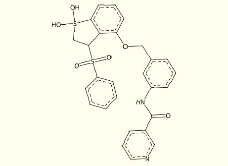 O=C(Nc1cccc(COc2cccc3c2C(S(=O)(=O)c2ccccc2)CS3(O)O)c1)c1cccnc1